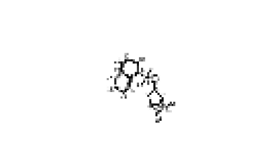 CC1C2CC(OC(C)(C)c3cccc4ccccc34)C(C2)C1C